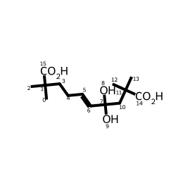 CC(C)(CCC=CC(O)(O)CC(C)(C)C(=O)O)C(=O)O